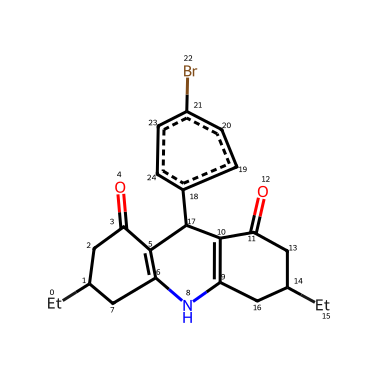 CCC1CC(=O)C2=C(C1)NC1=C(C(=O)CC(CC)C1)C2c1ccc(Br)cc1